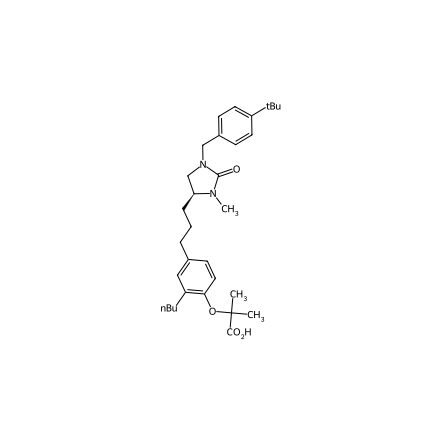 CCCCc1cc(CCC[C@H]2CN(Cc3ccc(C(C)(C)C)cc3)C(=O)N2C)ccc1OC(C)(C)C(=O)O